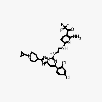 Nc1nc(NCCNc2nc(-c3ccc(Cl)cc3Cl)cc3nc(C4CCN(C5CC5)CC4)nn23)ccc1C(=O)C(F)(F)F